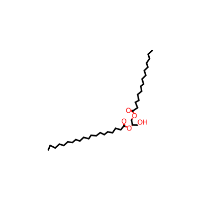 CCCCCCCCCCCCCCCCCCCC(=O)OC(CO)COC(=O)CCCCCCCCCCCCCCC